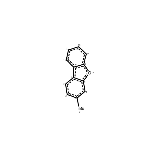 CCC(C)c1ccc2c(c1)oc1ccccc12